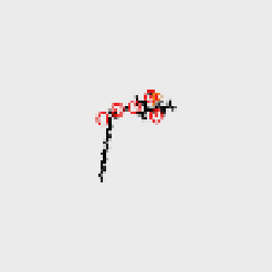 CCCCCCCCCCCC(=O)C(C)(C)OCCOC(C)CC(C(C)C)C1OCC(C(C)C)[C@@H]1P(C)OC